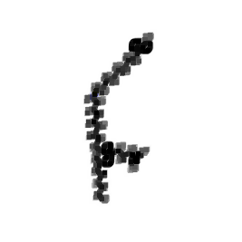 CCCCCCCCC(CCCCCCCC/C=C\CCCCCCCC(=O)OC)OC(=O)CCCN(C)C